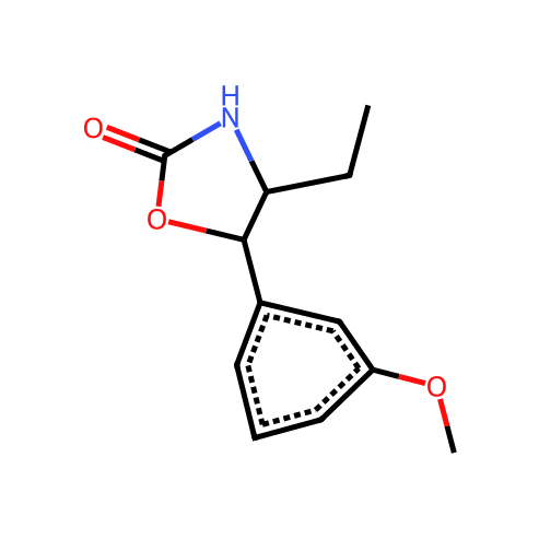 CCC1NC(=O)OC1c1cccc(OC)c1